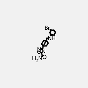 NC(=O)c1nc(C23CCC(CNc4cccc(Br)c4)(CC2)CC3)no1